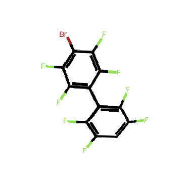 Fc1cc(F)c(F)c(-c2c(F)c(F)c(Br)c(F)c2F)c1F